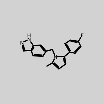 Cc1[c]cc(-c2ccc(F)cc2)n1Cc1ccc2cn[nH]c2c1